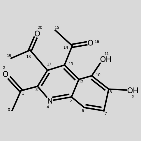 CC(=O)c1nc2ccc(O)c(O)c2c(C(C)=O)c1C(C)=O